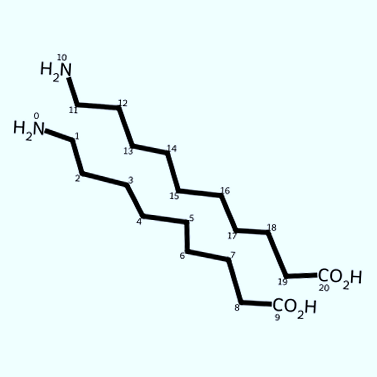 NCCCCCCCCC(=O)O.NCCCCCCCCCC(=O)O